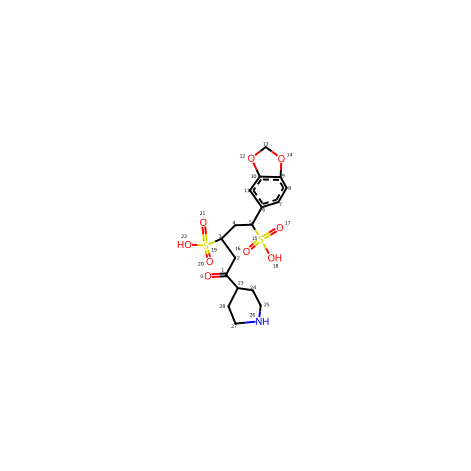 O=C(CC(CC(c1ccc2c(c1)OCO2)S(=O)(=O)O)S(=O)(=O)O)C1CCNCC1